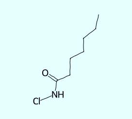 CCCCCCC(=O)NCl